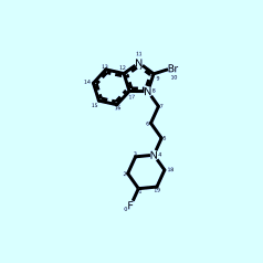 FC1CCN(CCCn2c(Br)nc3ccccc32)CC1